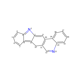 C1=C2N=c3ccccc3=C2Cc2cnc3ccccc3c21